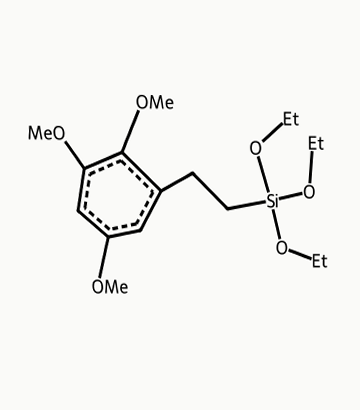 CCO[Si](CCc1cc(OC)cc(OC)c1OC)(OCC)OCC